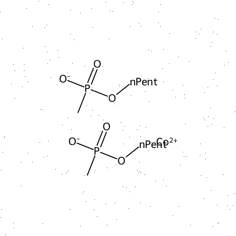 CCCCCOP(C)(=O)[O-].CCCCCOP(C)(=O)[O-].[Co+2]